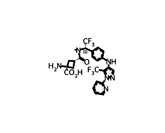 CN(C(=O)[C@H]1C[C@@](N)(C(=O)O)C1)[C@@H](c1ccc(Nc2cnn(-c3ccccn3)c2C(F)(F)F)cc1)C(F)(F)F